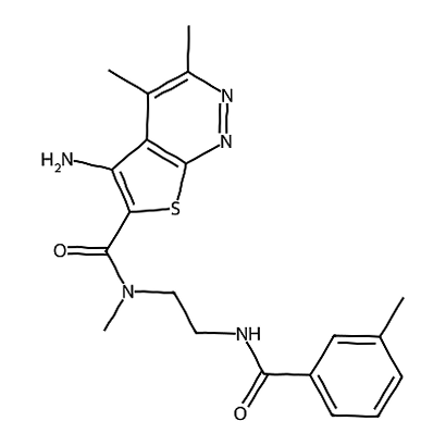 Cc1cccc(C(=O)NCCN(C)C(=O)c2sc3nnc(C)c(C)c3c2N)c1